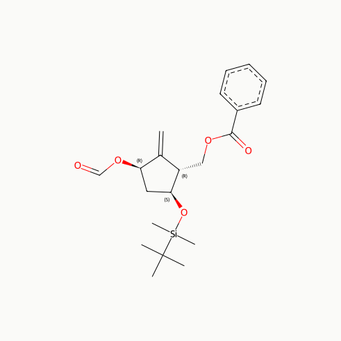 C=C1[C@H](OC=O)C[C@H](O[Si](C)(C)C(C)(C)C)[C@H]1COC(=O)c1ccccc1